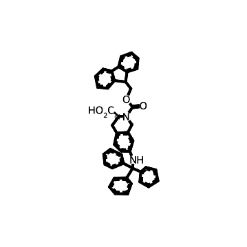 O=C(O)[C@@H]1Cc2ccc(NC(c3ccccc3)(c3ccccc3)c3ccccc3)cc2CN1C(=O)OCC1c2ccccc2-c2ccccc21